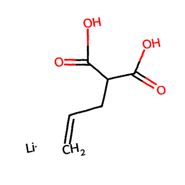 C=CCC(C(=O)O)C(=O)O.[Li]